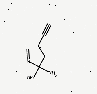 C#CCCC(N)(CCC)N=C